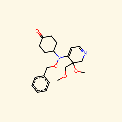 COCC1(OC)CN=CC=C1N(OCc1ccccc1)C1CCC(=O)CC1